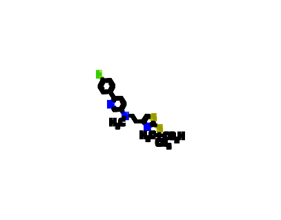 CN(CCc1csc(SC(C)(C)C(=O)O)n1)c1ccc(-c2ccc(F)cc2)nc1